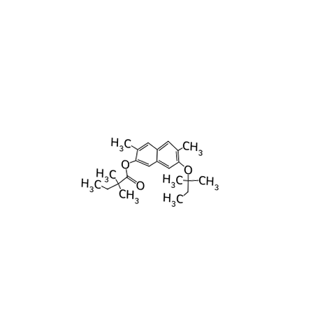 CCC(C)(C)Oc1cc2cc(OC(=O)C(C)(C)CC)c(C)cc2cc1C